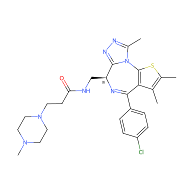 Cc1sc2c(c1C)C(c1ccc(Cl)cc1)=N[C@@H](CNC(=O)CCN1CCN(C)CC1)c1nnc(C)n1-2